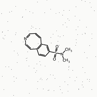 CN(C)S(=O)(=O)c1ccc2c(c1)C=CC=NC=C2